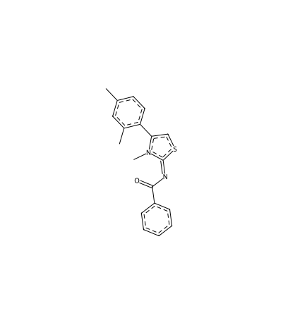 Cc1ccc(-c2cs/c(=N/C(=O)c3ccccc3)n2C)c(C)c1